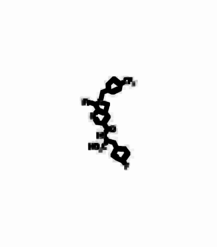 CC(C)C1c2ncc(C(=O)NC(Cc3ccc(F)cc3)C(=O)O)cc2CN1Cc1ccc(C(F)(F)F)cc1